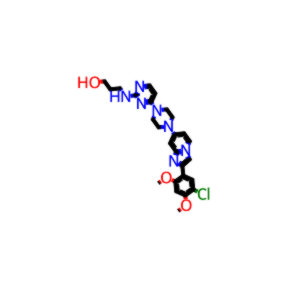 COc1cc(OC)c(-c2cn3ccc(N4CCN(c5ccnc(NCCCO)n5)CC4)cc3n2)cc1Cl